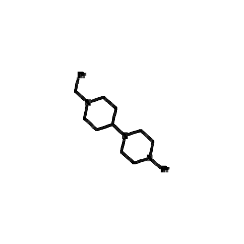 CC(C)CN1CCC(N2CCN(C(C)C)CC2)CC1